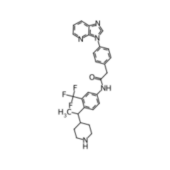 CC(c1ccc(NC(=O)Cc2ccc(-n3cnc4cccnc43)cc2)cc1C(F)(F)F)C1CCNCC1